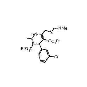 CCOC(=O)C1=C(C)NC(CSCNC)=C(C(=O)OCC)C1c1cccc(Cl)c1